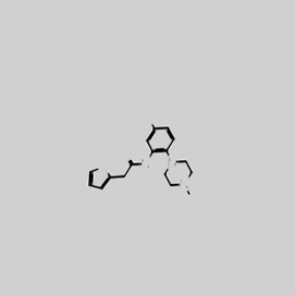 CN1CCN(c2ccc(C=O)cc2NC(=O)Cc2cccs2)CC1